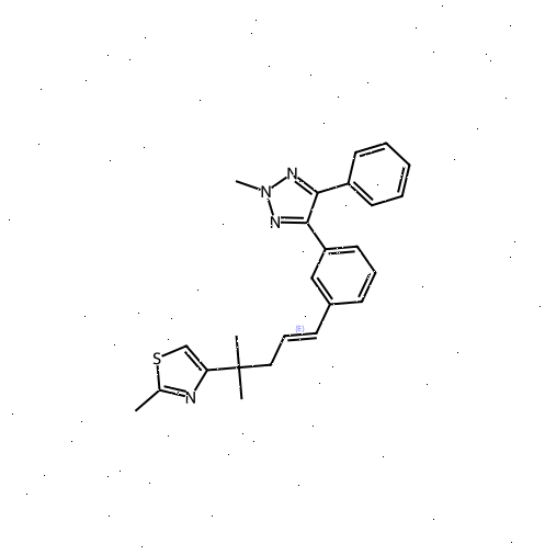 Cc1nc(C(C)(C)C/C=C/c2cccc(-c3nn(C)nc3-c3ccccc3)c2)cs1